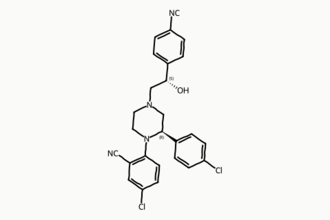 [C-]#[N+]c1ccc([C@H](O)CN2CCN(c3ccc(Cl)cc3C#N)[C@H](c3ccc(Cl)cc3)C2)cc1